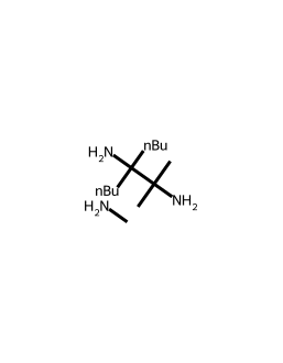 CCCCC(N)(CCCC)C(C)(C)N.CN